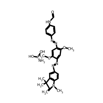 C=C1N(C)c2ccc(N=Nc3cc(OC)c(N=Nc4ccc(NC=O)cc4)cc3OC)cc2C1(C)C.NP(O)O